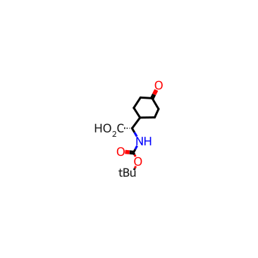 CC(C)(C)OC(=O)N[C@H](C(=O)O)C1CCC(=O)CC1